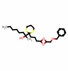 CCCCCCC(C)(O)C1(CCCC2OC(COCc3ccccc3)O2)SCCCS1